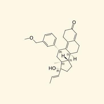 CC=C[C@]1(O)CC[C@H]2[C@@H]3CCC4=CC(=O)CCC4=C3[C@@H](c3cccc(COC)c3)C[C@@]21C